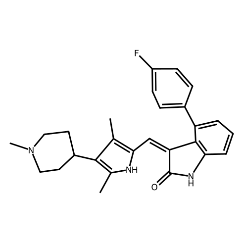 Cc1[nH]c(/C=C2\C(=O)Nc3cccc(-c4ccc(F)cc4)c32)c(C)c1C1CCN(C)CC1